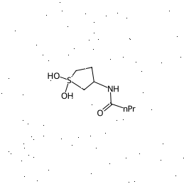 CCCC(=O)NC1CCS(O)(O)C1